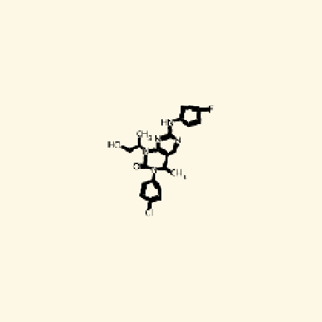 CC(CO)N1C(=O)N(c2ccc(Cl)cc2)C(C)c2cnc(Nc3ccc(F)cc3)nc21